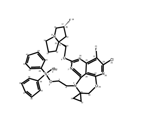 CC(C)(C)[Si](OCCN1c2nc(OC[C@@]34CCCN3C[C@H](F)C4)nc3c(F)c(Cl)nc(c23)OCC12CC2)(c1ccccc1)c1ccccc1